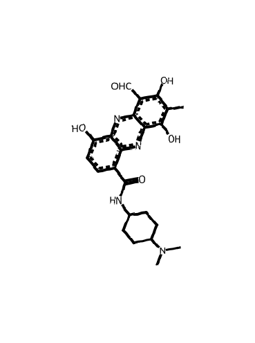 Cc1c(O)c(C=O)c2nc3c(O)ccc(C(=O)NC4CCC(N(C)C)CC4)c3nc2c1O